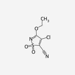 CCOC1=NS(=O)(=O)C(C#N)=C1Cl